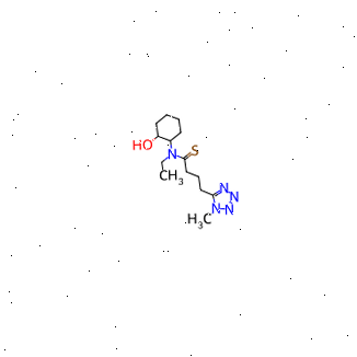 CCN(C(=S)CCCc1nnnn1C)C1CCCCC1O